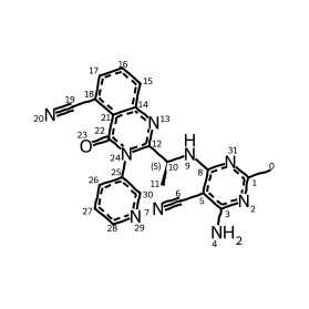 Cc1nc(N)c(C#N)c(N[C@@H](C)c2nc3cccc(C#N)c3c(=O)n2-c2cccnc2)n1